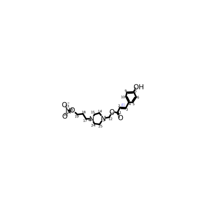 O=C(/C=C/c1ccc(O)cc1)OCN1CCN(CCCO[N+](=O)[O-])CC1